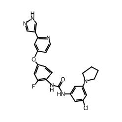 O=C(Nc1cc(Cl)cc(N2CCCC2)c1)Nc1ccc(Oc2ccnc(-c3cn[nH]c3)c2)cc1F